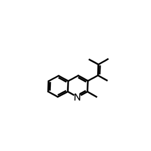 CC(C)=C(C)c1cc2ccccc2nc1C